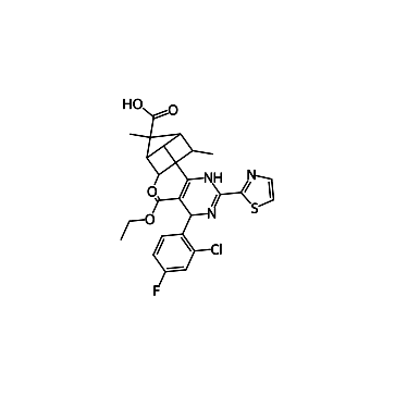 CCOC(=O)C1=C(C23C(C)C4C2C(C3C)C4(C)C(=O)O)NC(c2nccs2)=NC1c1ccc(F)cc1Cl